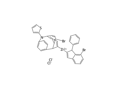 Brc1cccc2c1C(c1ccccc1)[C]([Zr+2][C]1=Cc3c4ccc(Br)c3C1c1ccc(cc1)N4c1cccs1)=C2.[Cl-].[Cl-]